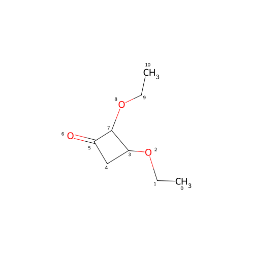 CCOC1CC(=O)C1OCC